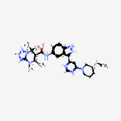 CC[C@@H]1CCCN(c2cc(-c3n[nH]c4ccc(NC(=O)C5=C(C)N(C)c6nnnn6C5(C)C)cc34)ncn2)C1